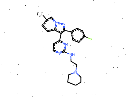 Fc1ccc(-c2nn3cc(C(F)(F)F)ccc3c2-c2ccnc(NCCN3CCCCC3)n2)cc1